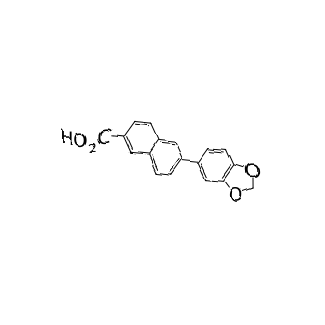 O=C(O)c1ccc2cc(-c3ccc4c(c3)OCO4)ccc2c1